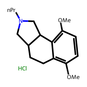 CCCN1CC2CCc3c(OC)ccc(OC)c3C2C1.Cl